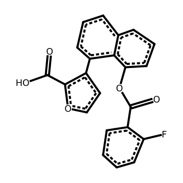 O=C(Oc1cccc2cccc(-c3ccoc3C(=O)O)c12)c1ccccc1F